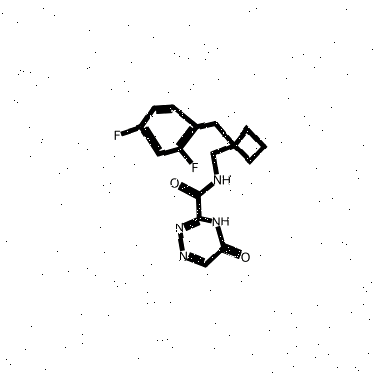 O=C(NCC1(Cc2ccc(F)cc2F)CCC1)c1nncc(=O)[nH]1